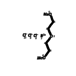 COCCOCCOC.[B+3].[Cl-].[Cl-].[Cl-]